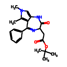 Cc1c2c(cn1C)NC(=O)C(CC(=O)OC(C)(C)C)N=C2c1ccccc1